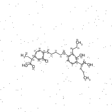 CCCC(=NO)c1ccc(OCCCSc2ccc(C(C)C(=O)O)cc2Cl)c(CCC)c1O